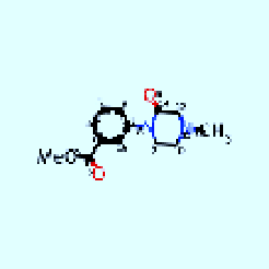 COC(=O)c1cccc(N2CCN(C)CC2=O)c1